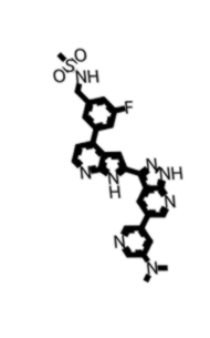 CN(C)c1cncc(-c2cnc3[nH]nc(-c4cc5c(-c6cc(F)cc(CNS(C)(=O)=O)c6)ccnc5[nH]4)c3c2)c1